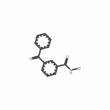 O=C(NCl)c1cccc(C(=O)c2ccccc2)c1